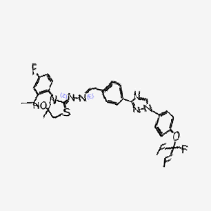 CC(C)c1cc(F)ccc1N1/C(=N/N=C/c2ccc(-c3ncn(-c4ccc(OC(F)(F)F)cc4)n3)cc2)SCC1(C)O